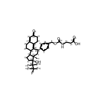 C[C@]12C[C@H](c3ccc(COC(=O)NCCC(=O)O)cc3)C3=C4CCC(=O)C=C4CCC3C1CC[C@@]2(O)C(F)(F)C(F)(F)F